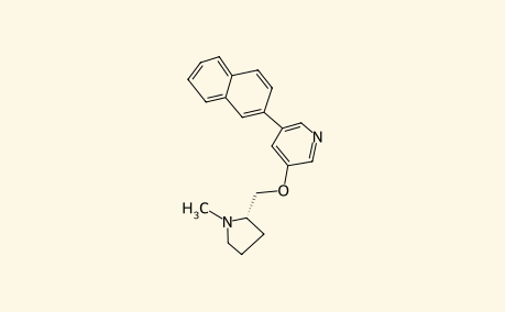 CN1CCC[C@H]1COc1cncc(-c2ccc3ccccc3c2)c1